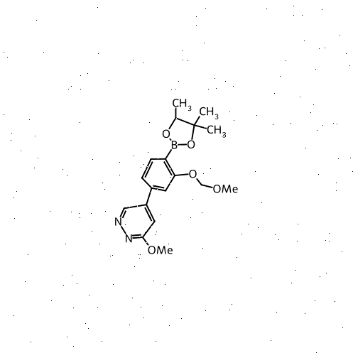 COCOc1cc(-c2cnnc(OC)c2)ccc1B1OC(C)C(C)(C)O1